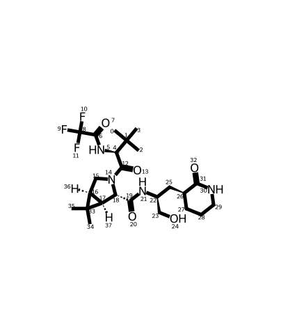 CC(C)(C)[C@H](NC(=O)C(F)(F)F)C(=O)N1C[C@H]2[C@@H]([C@H]1C(=O)N[C@H](CO)C[C@@H]1CCCNC1=O)C2(C)C